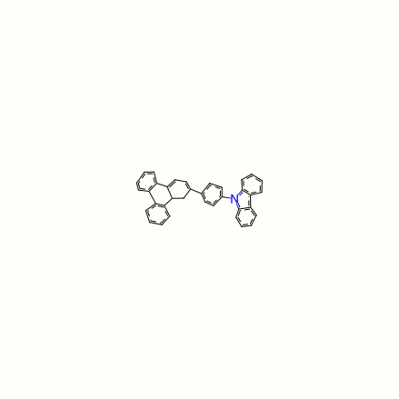 C1=C(c2ccc(-n3c4ccccc4c4ccccc43)cc2)CC2C(=C1)c1ccccc1-c1ccccc12